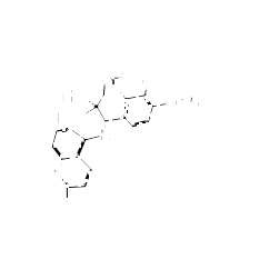 COc1ccc([C@@H](Nc2cccc3nc(C)ccc23)C(O)(CO)C(F)(F)F)c(F)c1Cl